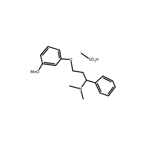 COc1cccc(OCCC(c2ccccc2)N(C)C)c1.CS(=O)(=O)O